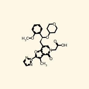 COc1ccccc1[C@H](Cc1cn(CC(=O)O)c(=O)c2c(C)c(-n3nccn3)oc12)OC1CCOCC1